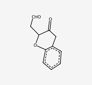 O=CCC1Oc2ccccc2CC1=O